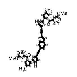 COC(=O)N[C@H](C(=O)N1C[C@@H](C)C[C@H]1c1nc(C#Cc2ccc3cc(C#Cc4c[nH]c([C@@H]5C[C@H](C)CN5C(=O)[C@@H](NC(=O)OC)C(C)C)n4)sc3c2)c[nH]1)C(C)C